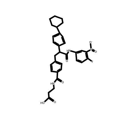 O=C(O)CCNC(=O)c1ccc(CC(C(=O)Nc2ccc(F)c([N+](=O)[O-])c2)c2ccc(C3CCCCC3)cc2)cc1